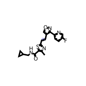 Cc1nc(/C=C/c2conc2-c2ccc(F)cn2)sc1C(=O)NCC1CC1